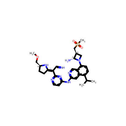 COC[C@@H]1CC/C(=C(/C=N)c2nccc(Nc3cc4c(C(C)C)ccc(N5C[C@H](CS(C)(=O)=O)[C@H]5N)c4cn3)n2)N1